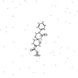 CCN1CC2(CCC1c1ccccc1)CCN(C(=O)OC(C)(C)C)CO2